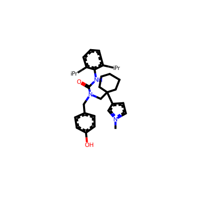 CC(C)c1cccc(C(C)C)c1NC(=O)N(Cc1ccc(O)cc1)CC1(c2ccn(C)c2)CCCCC1